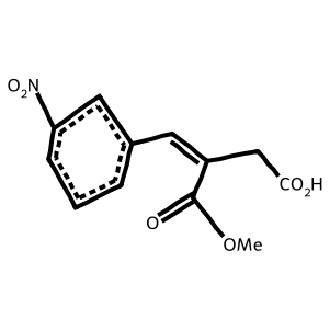 COC(=O)/C(=C\c1cccc([N+](=O)[O-])c1)CC(=O)O